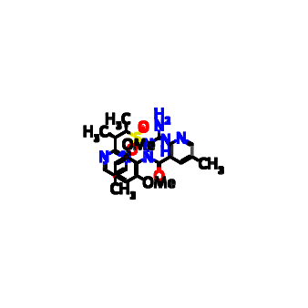 COc1cccc(OC)c1N(C(=O)c1cncc(C)c1)N(C(=N)N)S(=O)(=O)[C@H](C)[C@H](C)c1ncc(C)cn1